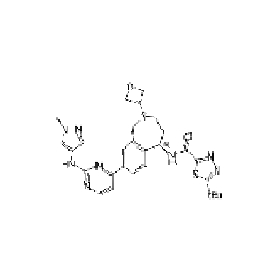 Cn1cc(Nc2nccc(-c3ccc4c(c3)CN(C3COC3)CC[C@H]4NC(=O)c3nnc(C(C)(C)C)s3)n2)cn1